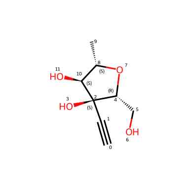 C#C[C@@]1(O)[C@@H](CO)O[C@@H](C)[C@@H]1O